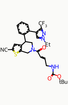 CCn1cc(-c2ccccc2C2CN(C(=O)/C=C/CNC(=O)OC(C)(C)C)Cc3sc(C#N)cc32)c(C(F)(F)F)n1